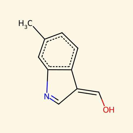 Cc1ccc2c(c1)N=C/C2=C\O